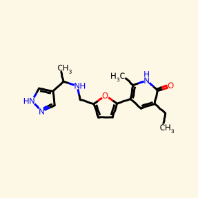 CCc1cc(-c2ccc(CNC(C)c3cn[nH]c3)o2)c(C)[nH]c1=O